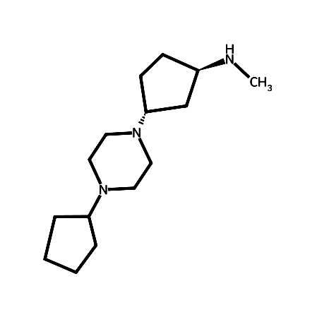 CN[C@@H]1CC[C@@H](N2CCN(C3CCCC3)CC2)C1